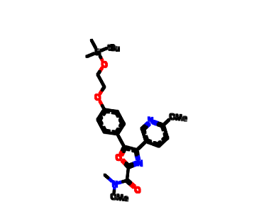 COc1ccc(-c2nc(C(=O)N(C)OC)oc2-c2ccc(OCCO[Si](C)(C)C(C)(C)C)cc2)cn1